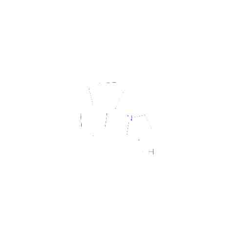 CC1CCN(C2CCCCC3CCCCC32)C1